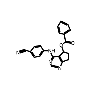 N#Cc1ccc(Nc2ncnc3c2C(OC(=O)c2ccccc2)CC3)cc1